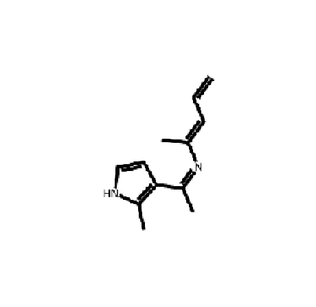 C=C/C=C(C)/N=C(/C)c1cc[nH]c1C